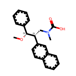 CO[C@H](c1ccccc1)[C@H](CN(C)C(=O)O)c1ccc2ccccc2c1